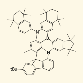 Cc1cc2c3c4c1C1(C)c5cc(C(C)(C)C)ccc5-c5cccc(c51)N4c1cc4c(cc1B3c1cc3c(cc1N2c1ccc2c(c1)C(C)(C)CCC2(C)C)C(C)(C)CCC3(C)C)C(C)(C)CC4(C)C